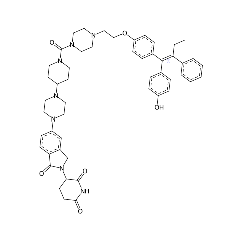 CC/C(=C(/c1ccc(O)cc1)c1ccc(OCCN2CCN(C(=O)N3CCC(N4CCN(c5ccc6c(c5)CN(C5CCC(=O)NC5=O)C6=O)CC4)CC3)CC2)cc1)c1ccccc1